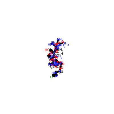 CCN(CCCC(C)Nc1ccnc2cc(Cl)ccc12)CCOC(=O)CC[C@H](NC(=O)[C@H](Cc1ccccc1)NC(=O)[C@H](C)NC(=O)[C@H](C)NC(=O)[C@H](Cc1cnc[nH]1)NC(=O)CNC(=O)[C@H](Cc1ccc(O)cc1)NC(=O)[C@H](CCC(N)=O)NC(=O)[C@H](CC(=O)O)NC(=O)[C@H](Cc1ccc(O)cc1)NC(=O)[C@H](C)NC(=O)[C@H](C)NC(=O)[C@H](CCCNC(=N)N)NC(=O)[C@H](CCCCN)NC(=O)[C@@H](N)CCC(N)=O)C(N)=O